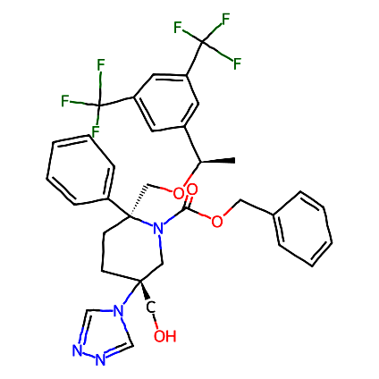 C[C@@H](OC[C@@]1(c2ccccc2)CC[C@@](CO)(n2cnnc2)CN1C(=O)OCc1ccccc1)c1cc(C(F)(F)F)cc(C(F)(F)F)c1